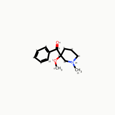 COC1(C(=O)c2ccccc2)CCCN(C)C1